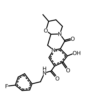 CC1CCN2C(=O)c3c(O)c(=O)c(C(=O)NCc4ccc(F)cc4)cn3CC2O1